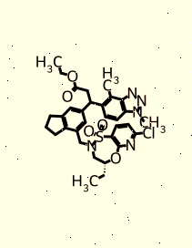 CCOC(=O)CC(c1cc2c(c(CN3C[C@@H](CC)Oc4nc(Cl)ccc4S3(=O)=O)c1)CCC2)c1ccc2c(nnn2C)c1C